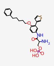 NC(COP(=O)(O)O)C(=O)Nc1ccc(OCCCCCc2ccccc2)c(-c2ccsc2)c1